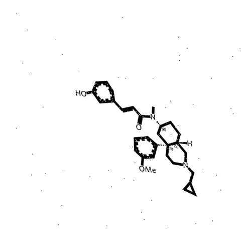 COc1cccc([C@@]23CCN(CC4CC4)C[C@H]2CC[C@@H](N(C)C(=O)C=Cc2cccc(O)c2)C3)c1